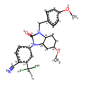 COc1ccc(CN2C(=O)N(c3ccc(C#N)c(C(F)(F)F)c3)C3CC(OC)CCC32)cc1